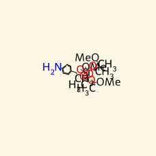 COC(C)OC(C)O[Si](OC)(OC(C)OC(C)OC)OC(C)c1ccc(N)cc1